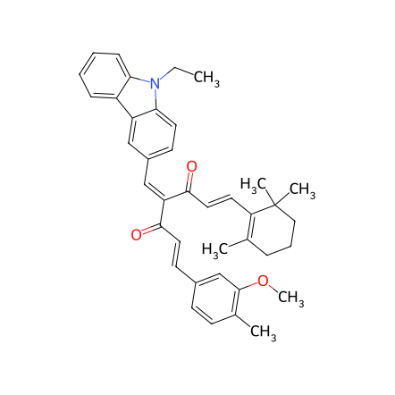 CCn1c2ccccc2c2cc(/C=C(\C(=O)/C=C/C3=C(C)CCCC3(C)C)C(=O)/C=C/c3ccc(C)c(OC)c3)ccc21